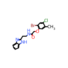 Cc1cc(OCC(=O)NCCc2nc3ccccc3[nH]2)c(Br)cc1Cl